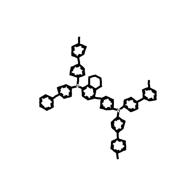 Cc1ccc(-c2ccc(N(c3ccc(-c4cccc(C)c4)cc3)c3ccc(-c4ccc(N(c5ccc(-c6ccccc6)cc5)c5ccc(-c6ccc(C)cc6)cc5)c5c4CCCC5)cc3)cc2)cc1